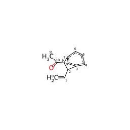 C=CC1c2cccc(c2)C1C(C)=O